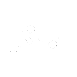 CCCCCCN(C)Cc1cc(-c2ccc(-c3cccc(S(C)(=O)=O)c3)s2)n(-c2ccccc2Cl)n1